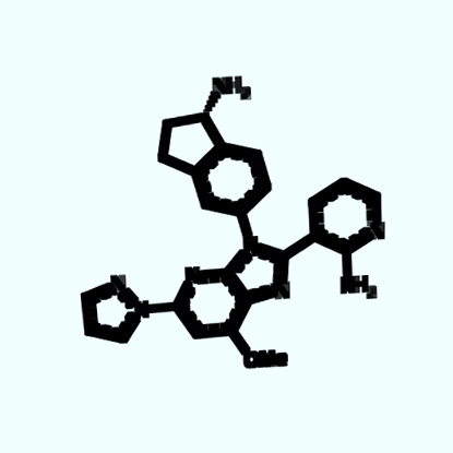 COc1cc(-n2cccn2)nc2c1nc(-c1cccnc1N)n2-c1ccc2c(c1)CC[C@@H]2N